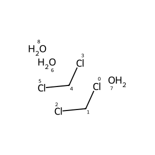 ClCCl.ClCCl.O.O.O